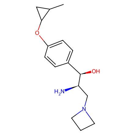 CC1CC1Oc1ccc([C@@H](O)[C@H](N)CN2CCC2)cc1